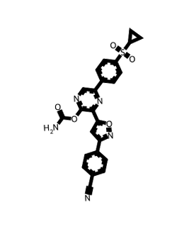 N#Cc1ccc(-c2cc(-c3nc(-c4ccc(S(=O)(=O)C5CC5)cc4)cnc3OC(N)=O)on2)cc1